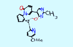 COc1ccc([C@H]2C[C@@H]2COc2nc(C)ncc2-c2ccc(=O)n(-c3ccccc3)c2)nc1